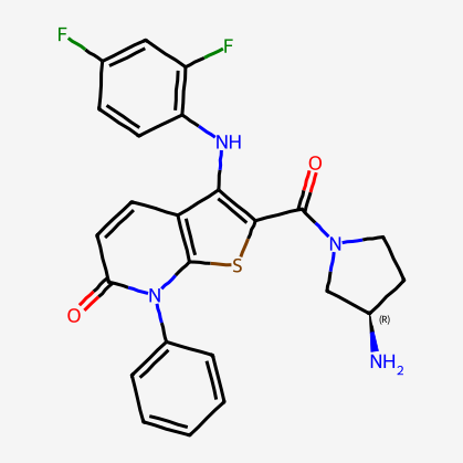 N[C@@H]1CCN(C(=O)c2sc3c(ccc(=O)n3-c3ccccc3)c2Nc2ccc(F)cc2F)C1